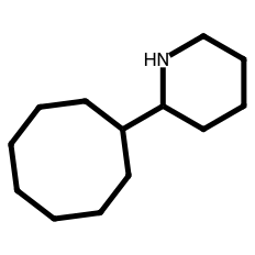 C1CCCC(C2CCCCN2)CCC1